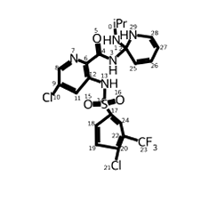 CC(C)NC1(NC(=O)c2ncc(Cl)cc2NS(=O)(=O)c2ccc(Cl)c(C(F)(F)F)c2)C=CC=CN1